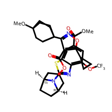 COC(=O)c1cc(OC(F)(F)F)c2nc(N3[C@@H]4CC[C@H]3CC(OC(=O)c3c(C56CCC(OC)(CC5)CC6)noc3C3CC3)C4)sc2c1